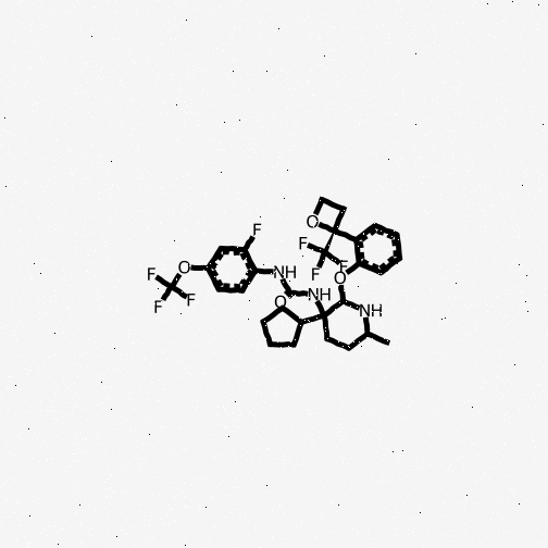 CC1CCC(NC(=O)Nc2ccc(OC(F)(F)F)cc2F)(C2CCCC2)C(Oc2ccccc2[C@@]2(C(F)(F)F)CCO2)N1